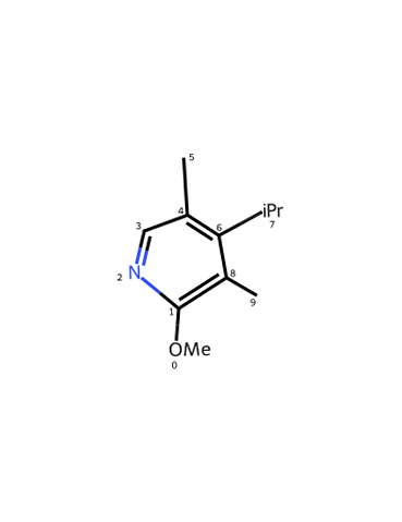 COc1ncc(C)c(C(C)C)c1C